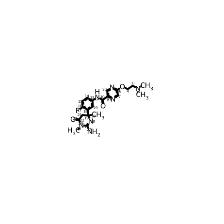 CN(C)CCOc1cnc(C(=O)Nc2ccc(F)c(C3(C)CC(=O)N(C)C(N)=N3)c2)cn1